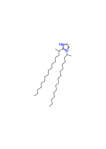 CCCCCCCCCCCCCCCC(C)[n+]1cc[nH]c1C(C)CCCCCCCCCCCCCC